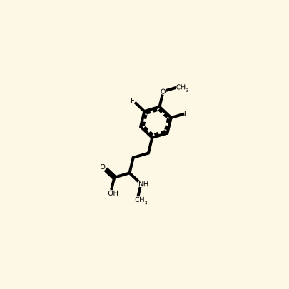 CNC(CCc1cc(F)c(OC)c(F)c1)C(=O)O